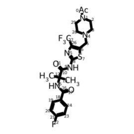 CC(=O)N1CCN(Cc2sc(NC(=O)C(C)(C)NC(=O)c3ccc(F)cc3)nc2C(F)(F)F)CC1